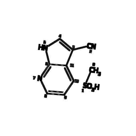 CS(=O)(=O)O.N#Cc1c[nH]c2ncccc12